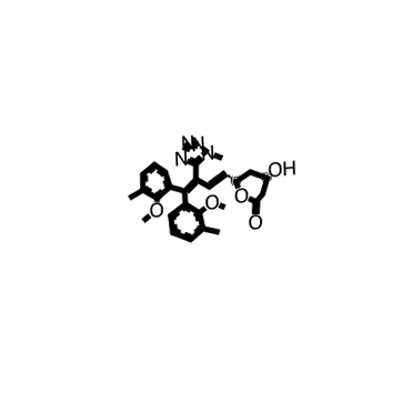 COc1c(C)cccc1C(=C(C=C[C@@H]1C[C@@H](O)CC(=O)O1)c1nnnn1C)c1cccc(C)c1OC